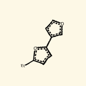 CCc1ccc(-c2ccoc2)o1